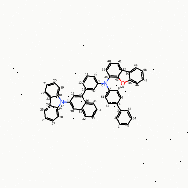 c1ccc(-c2ccc(N(c3cccc(-c4cc(-n5c6ccccc6c6ccccc65)cc5ccccc45)c3)c3cccc4c3oc3ccccc34)cc2)cc1